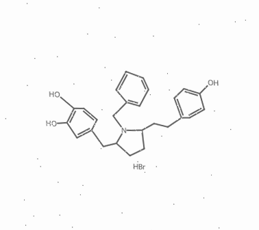 Br.Oc1ccc(CCC2CCC(Cc3ccc(O)c(O)c3)N2Cc2ccccc2)cc1